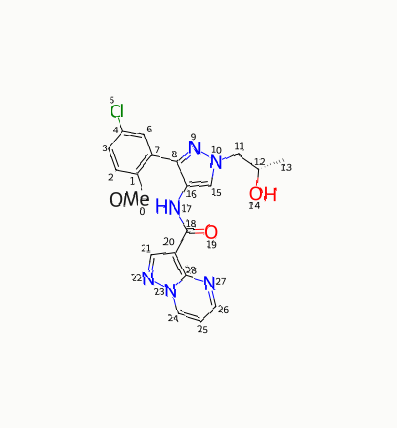 COc1ccc(Cl)cc1-c1nn(C[C@H](C)O)cc1NC(=O)c1cnn2cccnc12